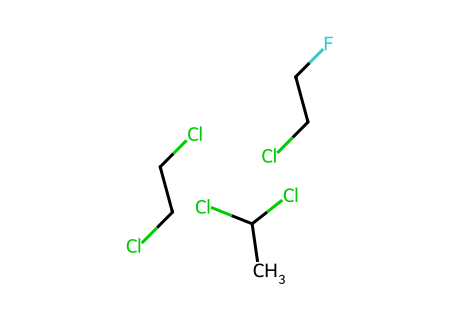 CC(Cl)Cl.ClCCCl.FCCCl